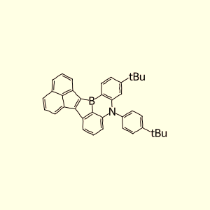 CC(C)(C)c1ccc(N2c3cc(C(C)(C)C)ccc3B3C4=C(c5cccc2c53)c2cccc3cccc4c23)cc1